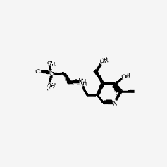 Cc1ncc(CNCCP(=O)(O)O)c(CO)c1O